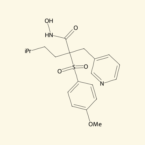 COc1ccc(S(=O)(=O)C(CCC(C)C)(Cc2cccnc2)C(=O)NO)cc1